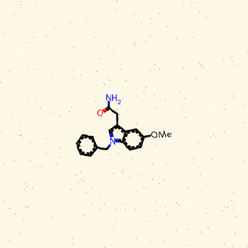 COc1ccc2c(c1)c(CC(N)=O)cn2Cc1ccccc1